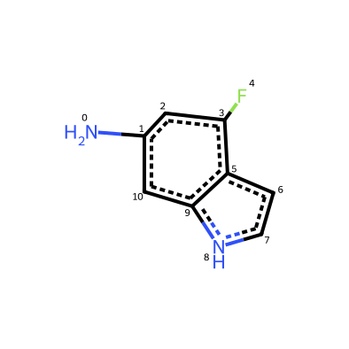 Nc1cc(F)c2cc[nH]c2c1